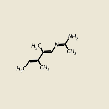 C/C=C(C)/C(C)=C/N=C(\C)N